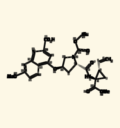 C=C[C@@H]1C[C@]1(NC(=O)[C@@H]1C[C@@H](Oc2cc(C(=O)O)nc3cc(OC)ccc23)CN1C(=O)OC(C)(C)C)C(=O)OC